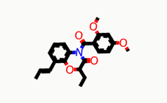 CC=Cc1cccc2c1OC(CC)C(=O)N2C(=O)c1ccc(OC)cc1OC